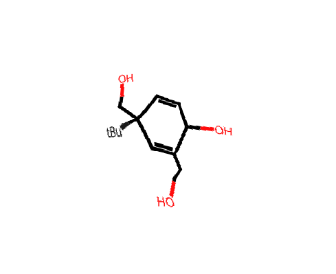 CC(C)(C)C1(CO)C=CC(O)C(CO)=C1